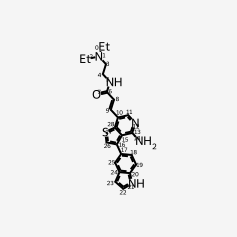 CCN(CC)CCNC(=O)C=Cc1cnc(N)c2c(-c3ccc4[nH]ccc4c3)csc12